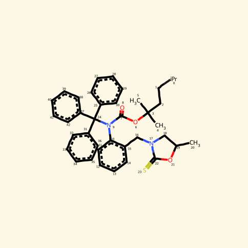 CC(C)CCC(C)(C)OC(=O)N(c1ccccc1CN1CC(C)OC1=S)C(c1ccccc1)(c1ccccc1)c1ccccc1